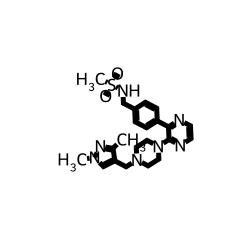 Cc1nn(C)cc1CN1CCN(c2nccnc2-c2ccc(CNS(C)(=O)=O)cc2)CC1